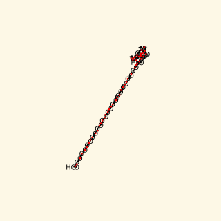 CCC1=CC(C)(C)N(CC)c2cc3c(cc21)C(c1nccn1CC(=O)NCCOCCOCCOCCOCCOCCOCCOCCOCCOCCOCCOCCOCCOCCOCCOCCOCCOCCOCCOCCOCCOCCOCCOCCOCCC(=O)O)=c1cc2c(cc1O3)=[N+](CC)C(C)(C)C=C2CS(=O)(=O)O